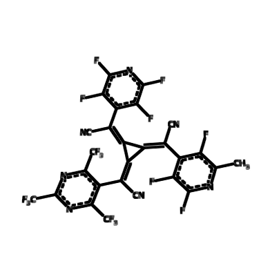 Cc1nc(F)c(F)c(/C(C#N)=C2\C(=C(C#N)c3c(C(F)(F)F)nc(C(F)(F)F)nc3C(F)(F)F)\C2=C(/C#N)c2c(F)c(F)nc(F)c2F)c1F